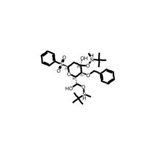 C[SiH](OC(O)[C@@H]1O[C@@H](S(=O)(=O)c2ccccc2)C[C@@](O)(O[SiH](C)C(C)(C)C)[C@H]1OCc1ccccc1)C(C)(C)C